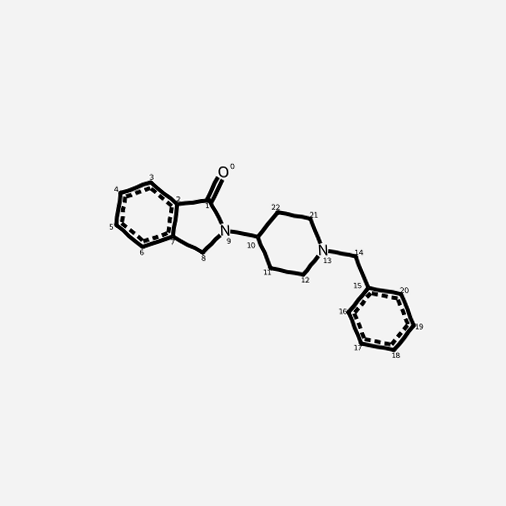 O=C1c2ccccc2CN1C1CCN(Cc2ccccc2)CC1